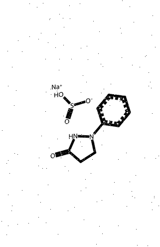 O=C1CCN(c2ccccc2)N1.O=S([O-])O.[Na+]